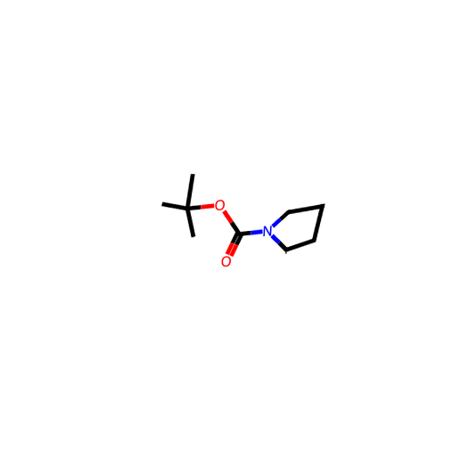 CC(C)(C)OC(=O)N1[CH]CCC1